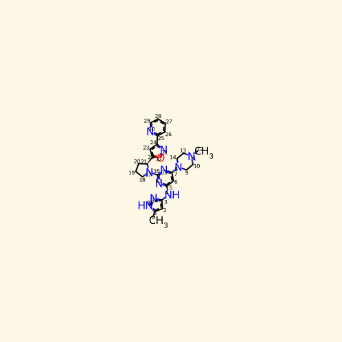 Cc1cc(Nc2cc(N3CCN(C)CC3)nc(N3CCC[C@H]3c3cc(-c4ccccn4)no3)n2)n[nH]1